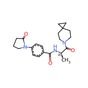 C[C@@H](NC(=O)c1ccc(N2CCCC2=O)cc1)C(=O)N1CCC2(CC1)CC2